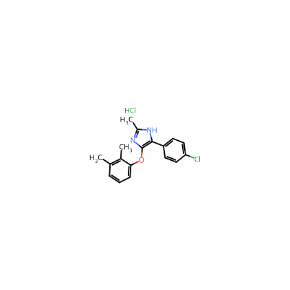 Cc1nc(Oc2cccc(C)c2C)c(-c2ccc(Cl)cc2)[nH]1.Cl